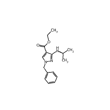 CCOC(=O)c1cn(Cc2ccccc2)nc1NC(C)C